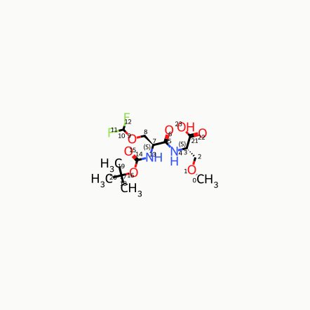 COC[C@H](NC(=O)[C@H](COC(F)F)NC(=O)OC(C)(C)C)C(=O)O